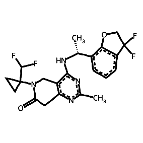 Cc1nc2c(c(N[C@H](C)c3cccc4c3OCC4(F)F)n1)CN(C1(C(F)F)CC1)C(=O)C2